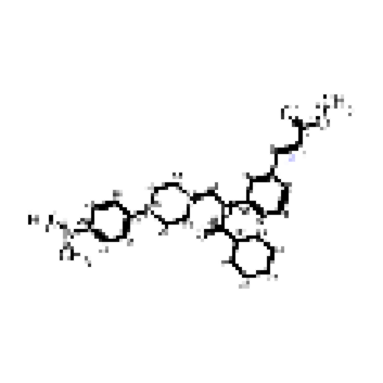 COC(=O)/C=C/c1cccc(N(CN2CCN(c3ccc(N(C)C)cc3)CC2)C(=O)C2CCCCC2)c1